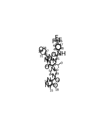 CCc1c(N2CCN(C(=O)c3ncnc(C)c3OC)CC2)c(=O)n2nc(C3=CCOCC3)nc2n1CC(=O)Nc1ccc(C(F)(F)F)cc1